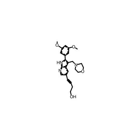 COc1cc(OC)cc(-c2[nH]c3ncc(C#CCCO)cc3c2CN2CCOCC2)c1